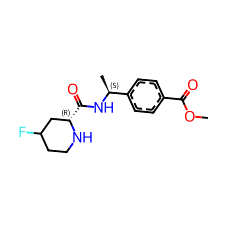 COC(=O)c1ccc([C@H](C)NC(=O)[C@H]2CC(F)CCN2)cc1